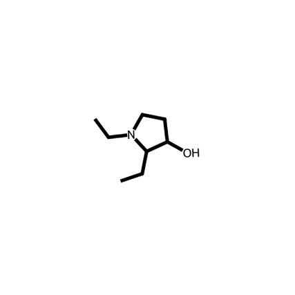 CCC1C(O)CCN1CC